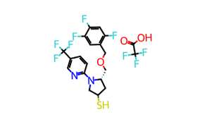 Fc1cc(F)c(COC[C@@H]2C[C@@H](S)CN2c2ccc(C(F)(F)F)cn2)cc1F.O=C(O)C(F)(F)F